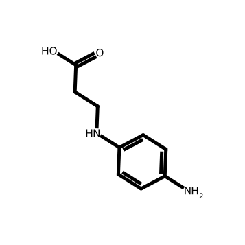 Nc1ccc(NCCC(=O)O)cc1